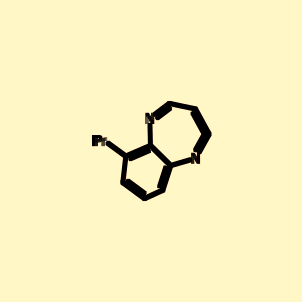 CC(C)c1cccc2c1N=CC=C=N2